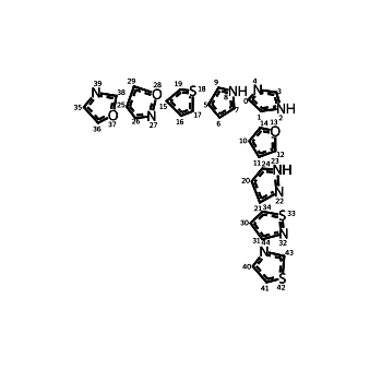 c1c[nH]cn1.c1cc[nH]c1.c1ccoc1.c1ccsc1.c1cn[nH]c1.c1cnoc1.c1cnsc1.c1cocn1.c1cscn1